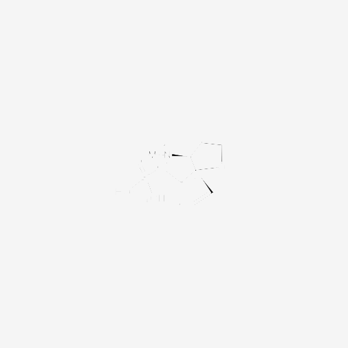 C=C[C@]1([C@H](C)OP(=O)(O)O)OCC[C@@H]1NC